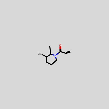 C=CC(=O)N1CCCC(C(C)C)C1C